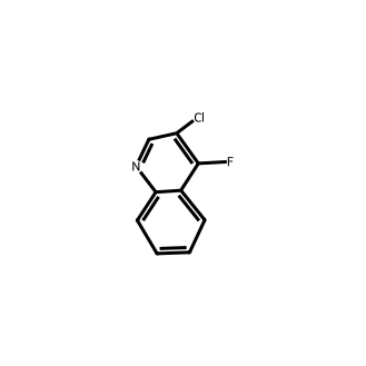 Fc1c(Cl)cnc2ccccc12